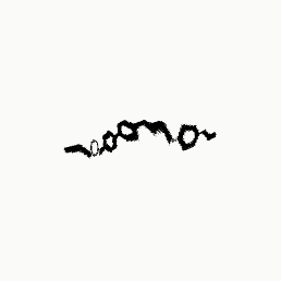 C=CCOCc1ccc(-c2ccc(CCCC[C@H]3CC[C@H](CC=C)CC3)cc2)cc1